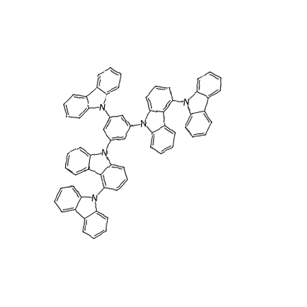 c1ccc2c(c1)c1ccccc1n2-c1cc(-n2c3ccccc3c3c(-n4c5ccccc5c5ccccc54)cccc32)cc(-n2c3ccccc3c3c(-n4c5ccccc5c5ccccc54)cccc32)c1